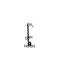 CCCCCCCCCCNC(=O)/C=C/c1ccc(O)c(O)c1